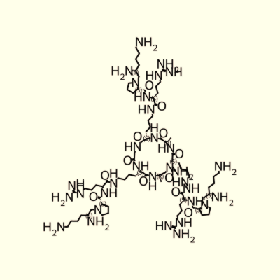 C[C@H]1NC(=O)[C@H](CCCCNNC(=O)[C@H](CCCNC(=N)N)NC(=O)[C@@H]2CCCN2C[C@@H](N)CCCCN)N(N)C(=O)[C@@H](C)NC(=O)[C@H](CCCCNC(=O)C(CCCNC(=N)N)NC(=O)[C@@H]2CCCN2C[C@@H](N)CCCCN)NC(=O)CNC(=O)[C@H](CCCCNC(=O)[C@H](CCCNC(=N)N)NC(=O)[C@@H]2CCCN2C[C@@H](N)CCCCN)NC1=O